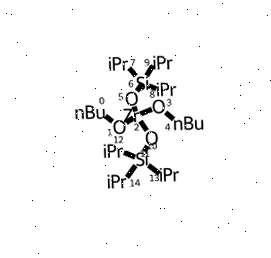 CCCC[O][Zr]([O]CCCC)([O][Si](C(C)C)(C(C)C)C(C)C)[O][Si](C(C)C)(C(C)C)C(C)C